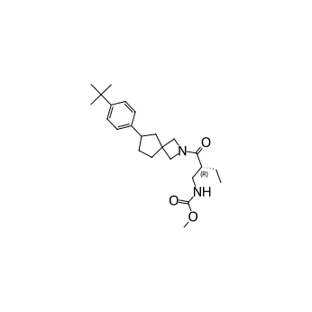 CC[C@H](CNC(=O)OC)C(=O)N1CC2(CCC(c3ccc(C(C)(C)C)cc3)C2)C1